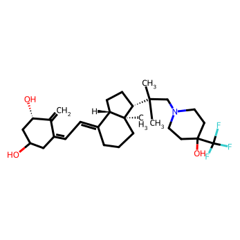 C=C1/C(=C\C=C2/CCC[C@]3(C)[C@@H](C(C)(C)CN4CCC(O)(C(F)(F)F)CC4)CC[C@@H]23)CC(O)C[C@@H]1O